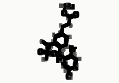 CN(c1cc(CCC(=O)OC(C)(C)C)ccc1Nc1nc(Cl)ncc1Br)S(C)(=O)=O